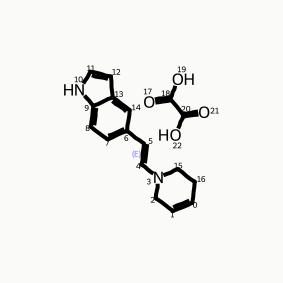 C1=CCN(/C=C/c2ccc3[nH]ccc3c2)CC1.O=C(O)C(=O)O